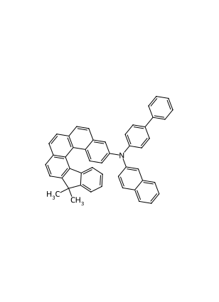 CC1(C)c2ccccc2-c2c1ccc1ccc3ccc4cc(N(c5ccc(-c6ccccc6)cc5)c5ccc6ccccc6c5)ccc4c3c21